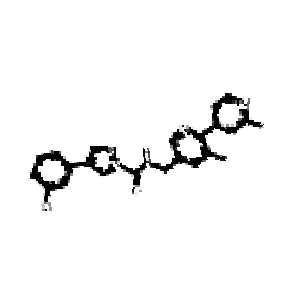 Cc1cc(-c2ncc(CNC(=O)n3cc(-c4cccc(Cl)c4)cn3)cc2C)ccn1